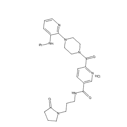 CC(C)Nc1cccnc1N1CCN(C(=O)c2ccc(C(=O)NCCCN3CCCC3=O)cn2)CC1.Cl